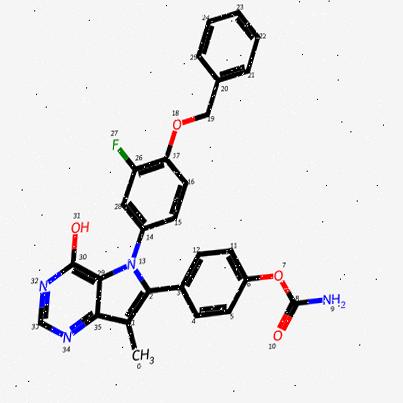 Cc1c(-c2ccc(OC(N)=O)cc2)n(-c2ccc(OCc3ccccc3)c(F)c2)c2c(O)ncnc12